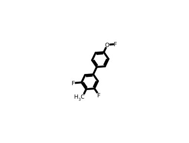 Cc1c(F)cc(-c2ccc(OF)cc2)cc1F